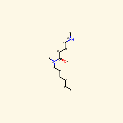 CCCCCCN(C)C(=O)CCCNC